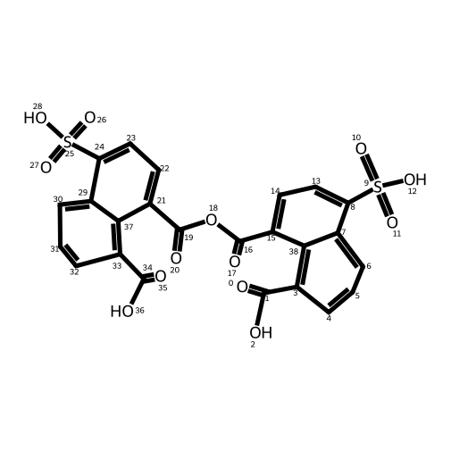 O=C(O)c1cccc2c(S(=O)(=O)O)ccc(C(=O)OC(=O)c3ccc(S(=O)(=O)O)c4cccc(C(=O)O)c34)c12